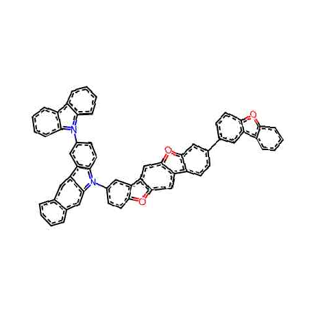 c1ccc2cc3c(cc2c1)c1cc(-n2c4ccccc4c4ccccc42)ccc1n3-c1ccc2oc3cc4c(cc3c2c1)oc1cc(-c2ccc3oc5ccccc5c3c2)ccc14